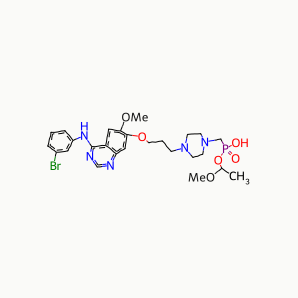 COc1cc2c(Nc3cccc(Br)c3)ncnc2cc1OCCCN1CCN(CP(=O)(O)OC(C)OC)CC1